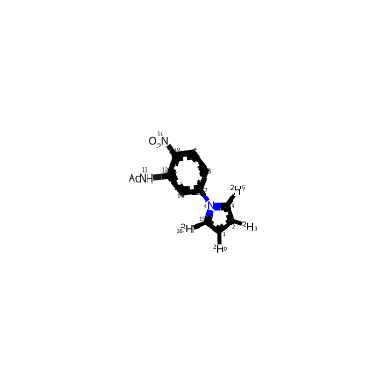 [2H]c1c([2H])c([2H])n(-c2ccc([N+](=O)[O-])c(NC(C)=O)c2)c1[2H]